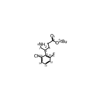 CC(C)(C)OC(=O)CCC(CN)c1c(F)cccc1Cl